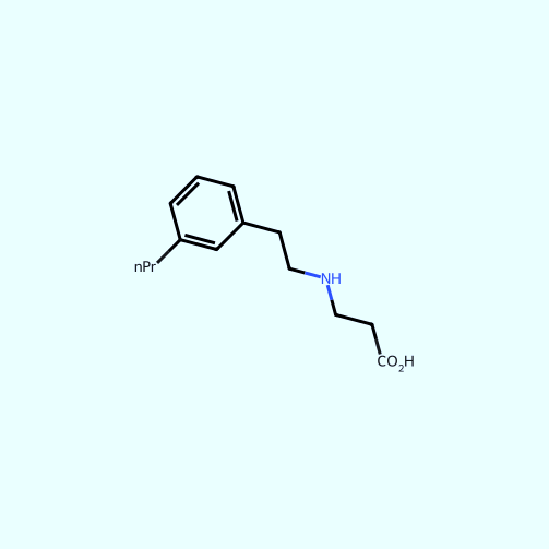 CCCc1cccc(CCNCCC(=O)O)c1